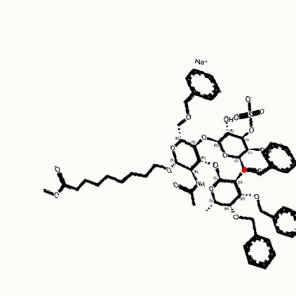 COC(=O)CCCCCCCCO[C@@H]1O[C@H](COCc2ccccc2)[C@@H](O[C@@H]2O[C@H](CCl)[C@H](O)[C@H](OS(=O)(=O)[O-])[C@H]2O)[C@H](O[C@@H]2O[C@@H](C)[C@@H](OCc3ccccc3)[C@@H](OCc3ccccc3)[C@@H]2OCc2ccccc2)[C@H]1NC(C)=O.[Na+]